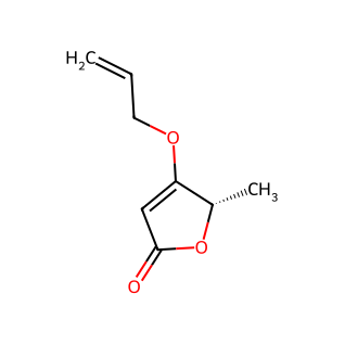 C=CCOC1=CC(=O)O[C@H]1C